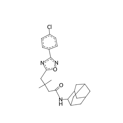 CC(C)(CC(=O)NC1C2CC3CC(C2)CC1C3)Cc1nc(-c2ccc(Cl)cc2)no1